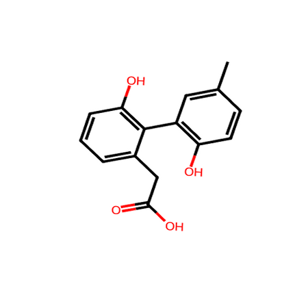 Cc1ccc(O)c(-c2c(O)cccc2CC(=O)O)c1